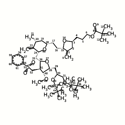 C=C1C[C@H](CCCOC(=O)C(C)(C)C)O[C@H]1CC[C@H]1C[C@@H](C)C(=C)[C@@H](C[C@@H]2O[C@H](C[C@@H](CO[Si](C)(C)C(C)(C)C)O[Si](C)(C)C(C)(C)C)[C@H](OC)[C@H]2CS(=O)(=O)c2ccccc2)O1